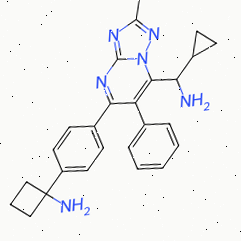 Cc1nc2nc(-c3ccc(C4(N)CCC4)cc3)c(-c3ccccc3)c(C(N)C3CC3)n2n1